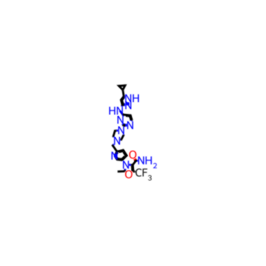 CC1OC(C(F)(F)F)=C(C(N)=O)N1c1ccc(CN2CCN(c3nccc(Nc4cc(C5CC5)[nH]n4)n3)CC2)nc1